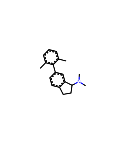 Cc1cccc(C)c1-c1ccc2c(c1)C(N(C)C)CC2